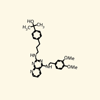 COc1ccc(CNc2nc(NCCCc3ccc(C(C)(C)O)cc3)nc3ncccc23)cc1OC